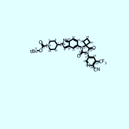 CC(C)(C)OC(=O)N1CCC(n2cc3cc(N4C(=O)N(c5cnc(C#N)c(C(F)(F)F)c5)C(=O)C45CCC5)ccc3n2)CC1